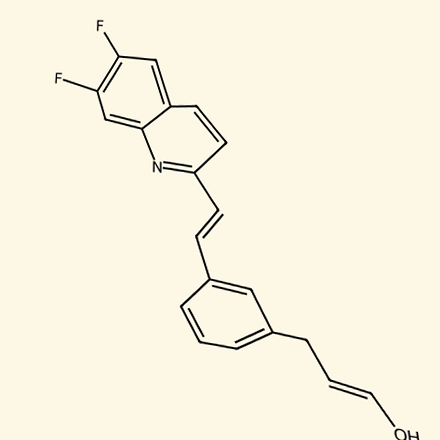 OC=CCc1cccc(C=Cc2ccc3cc(F)c(F)cc3n2)c1